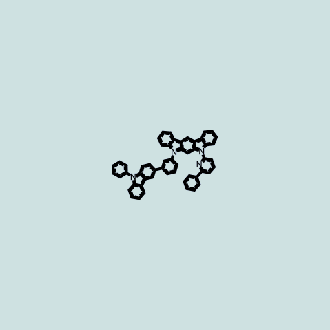 c1ccc(-c2cccc(-n3c4ccccc4c4cc5c6ccccc6n(-c6cccc(-c7ccc8c(c7)c7ccccc7n8-c7ccccc7)c6)c5cc43)n2)cc1